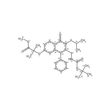 COC(=O)C(C)(C)Oc1ccc2c(=O)n(CC(C)C)c(CNC(=O)OC(C)(C)C)c(-c3ccccc3)c2c1